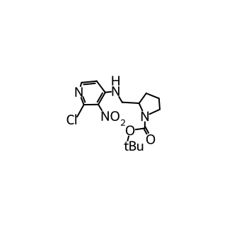 CC(C)(C)OC(=O)N1CCCC1CNc1ccnc(Cl)c1[N+](=O)[O-]